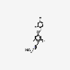 Cc1cc(OCc2ccc(F)cc2F)cc(=O)n1C/C=C/C(=O)O